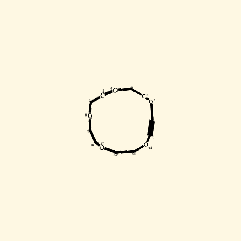 C1#COCCOCCOCCOCCO1